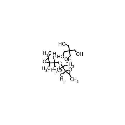 CC1OC1(C)C(C)(C)OC(C)(C)C1(C)OC1C.OCC(CO)(CO)CO